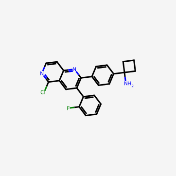 NC1(c2ccc(-c3nc4ccnc(Cl)c4cc3-c3ccccc3F)cc2)CCC1